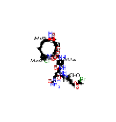 C=C(CBr)C(=O)OC(C)CCCC(C=O)N[C@H](C(=O)N[C@@H](CCCNC(N)=O)C(=O)Nc1ccc(NC(=O)O[C@H]2CC(=O)N(C)c3cc(cc(OC)c3Cl)C/C(C)=C/C=C/[C@@H](OC)[C@@]3(O)C[C@H](OC(=O)N3)[C@@H](C)[C@@H]3O[C@@]23C)c(OC)c1)C(C)C